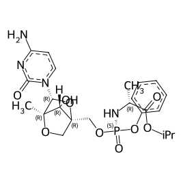 CC(C)OC(=O)[C@@H](C)N[P@](=O)(OC[C@]12CO[C@](C)([C@@H]1O)[C@H](n1ccc(N)nc1=O)O2)Oc1ccccc1